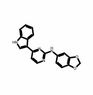 c1ccc2c(-c3ccnc(Nc4ccc5c(c4)OCO5)n3)c[nH]c2c1